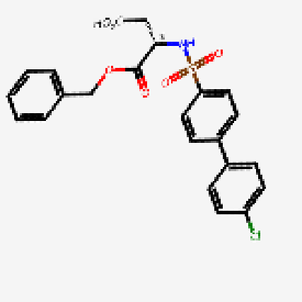 O=C(O)C[C@H](NS(=O)(=O)c1ccc(-c2ccc(Cl)cc2)cc1)C(=O)OCc1ccccc1